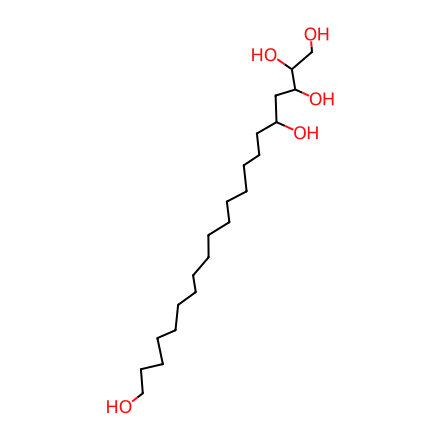 OCCCCCCCCCCCCCCCCC(O)CC(O)C(O)CO